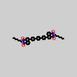 CCCCCCCN1C(=O)c2cccc3c(-c4ccc(-c5ccc(-c6ccc(-c7ccc8c9c(cccc79)C(=O)N(CCCCCCC)C8=O)cc6)cc5)cc4)ccc(c23)C1=O